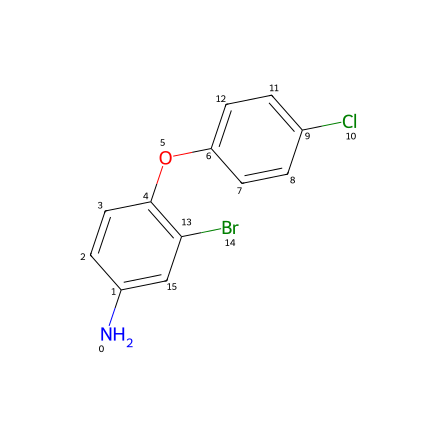 Nc1ccc(Oc2ccc(Cl)cc2)c(Br)c1